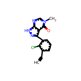 C#Cc1cccc(-c2n[nH]c3ncn(C)c(=O)c23)c1Cl